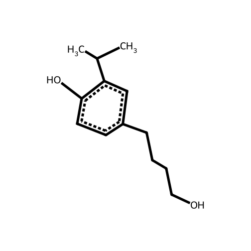 CC(C)c1cc(CCCCO)ccc1O